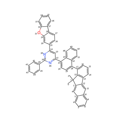 CC1(C)c2cc3ccccc3cc2-c2cccc(-c3ccc(-c4cc(-c5ccc6c(c5)oc5ccccc56)nc(-c5ccccc5)n4)c4ccccc34)c21